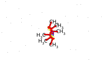 CCCCCCCCc1ccsc1-c1cc(CCCCCCCC)c(-c2cc(CCCCCCCC)c(-c3ccc(-c4sc(-c5sc(-c6sccc6CCCCCCCC)cc5CCCCCCCC)cc4CCCCCCCC)c4nsnc34)s2)s1